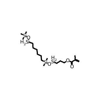 C=C(C)C(=O)OCCC[SiH2]O[Si](C)(C)CCCCCC[SiH2]O[Si](C)(C)C